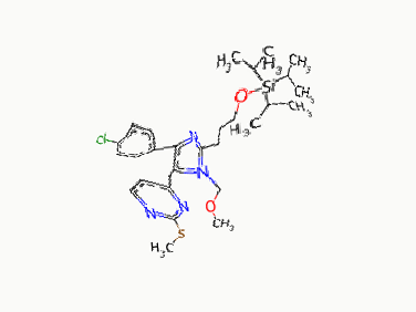 COCn1c(CCCO[Si](C(C)C)(C(C)C)C(C)C)nc(-c2ccc(Cl)cc2)c1-c1ccnc(SC)n1